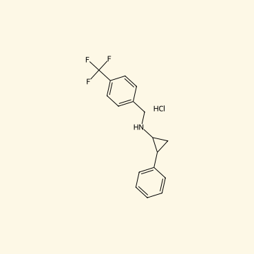 Cl.FC(F)(F)c1ccc(CNC2CC2c2ccccc2)cc1